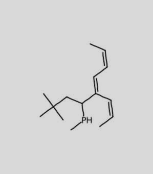 C\C=C/C=C(\C=C/C)C(CC(C)(C)C)PC